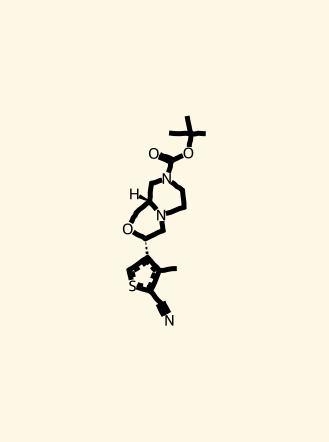 Cc1c([C@H]2CN3CCN(C(=O)OC(C)(C)C)C[C@H]3CO2)csc1C#N